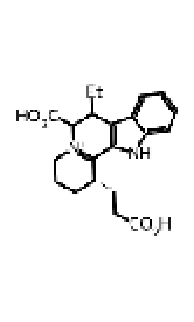 CCC1c2c([nH]c3ccccc23)C2=[N+](CCC[C@H]2CCC(=O)O)C1C(=O)O